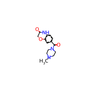 CN1CCN(C(=O)c2ccc3c(c2)OCC(=O)N3)CC1